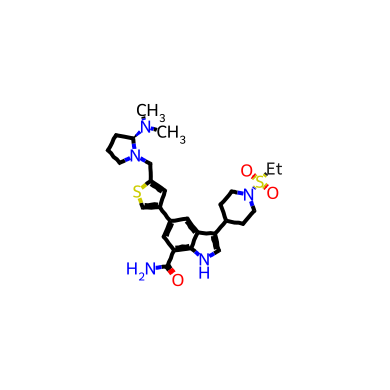 CCS(=O)(=O)N1CCC(c2c[nH]c3c(C(N)=O)cc(-c4csc(CN5CCC[C@H]5N(C)C)c4)cc23)CC1